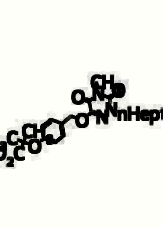 CCCCCCCn1nc(OCc2ccc(OC(C)(C)C(=O)OCC)cc2)c(=O)n(C)c1=O